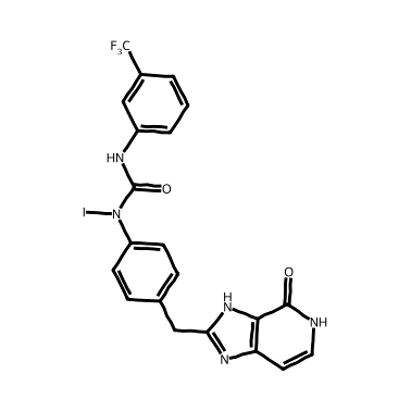 O=C(Nc1cccc(C(F)(F)F)c1)N(I)c1ccc(Cc2nc3cc[nH]c(=O)c3[nH]2)cc1